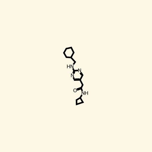 O=C(Cc1cnc(NCC2CCCCC2)nc1)NC1CCC1